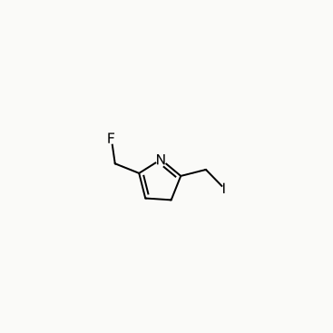 FCC1=CCC(CI)=N1